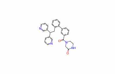 O=C1CN(C(=O)c2cccc(-c3ccccc3CC(c3cccnc3)c3cccnc3)c2)CCN1